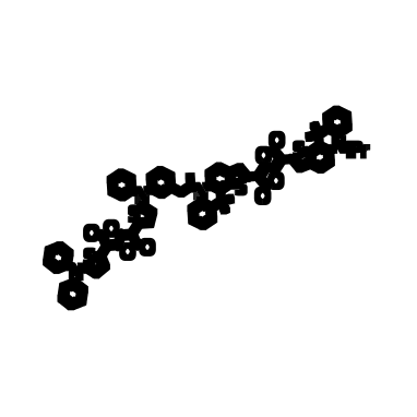 CC(C)N1c2ccccc2C(C)(C)c2c1ccc1cc(C3=C4OC(=O)C(c5cc6ccc7c(c6s5)C(C)(C)c5ccccc5N7C(C)Cc5cccc(N(c6ccccc6)c6ccc(C7=C8OC(=O)C(c9ccc(N(c%10ccccc%10)c%10ccccc%10)s9)=C8OC7=O)s6)c5)=C4OC3=O)sc21